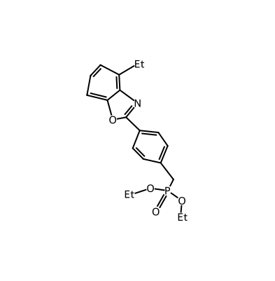 CCOP(=O)(Cc1ccc(-c2nc3c(CC)cccc3o2)cc1)OCC